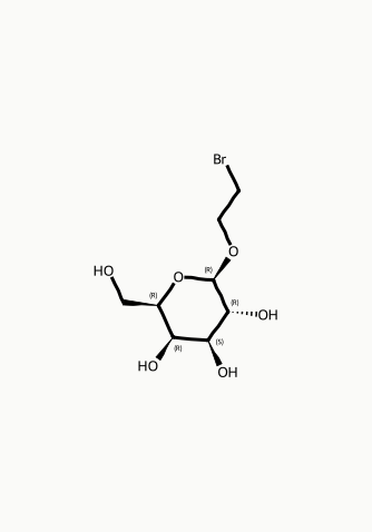 OC[C@H]1O[C@@H](OCCBr)[C@H](O)[C@@H](O)[C@H]1O